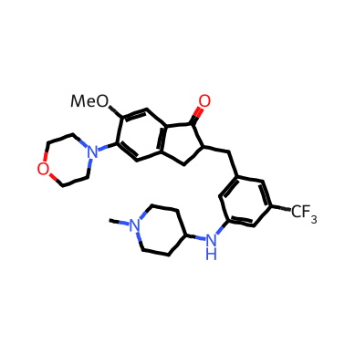 COc1cc2c(cc1N1CCOCC1)CC(Cc1cc(NC3CCN(C)CC3)cc(C(F)(F)F)c1)C2=O